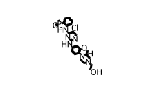 CP(C)(=O)c1ccccc1Nc1nc(Nc2ccc3c(c2)OC[C@@H]2CN(CCO)CCN32)ncc1Cl